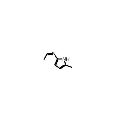 C/C=N\c1ccc(C)[nH]1